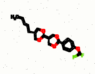 CCCCC[C@H]1CO[C@H]([C@H]2CO[C@H](c3ccc(OC(F)F)cc3)OC2)OC1